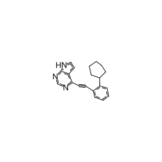 C(#Cc1ncnc2[nH]ccc12)c1ccccc1C1CCCCC1